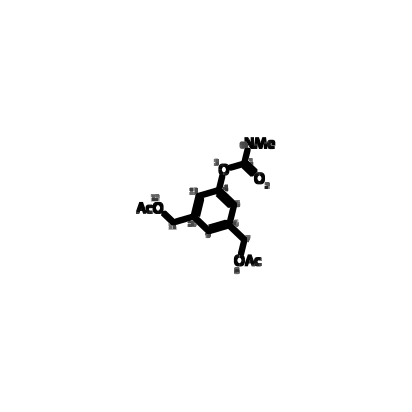 CNC(=O)Oc1cc(COC(C)=O)cc(COC(C)=O)c1